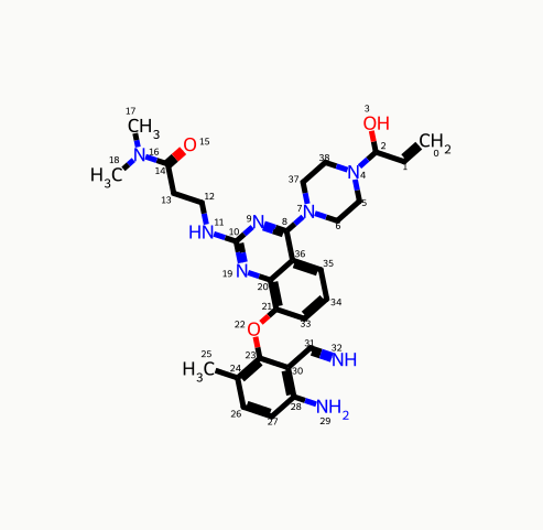 C=CC(O)N1CCN(c2nc(NCCC(=O)N(C)C)nc3c(Oc4c(C)ccc(N)c4C=N)cccc23)CC1